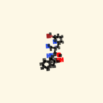 N#C/C(=C\c1cccc(Br)n1)C(=O)N[C@H]1c2ccccc2C[C@H]1O